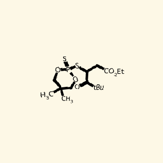 CCOC(=O)CC(SP1(=S)OCC(C)(C)CO1)C(=O)C(C)(C)C